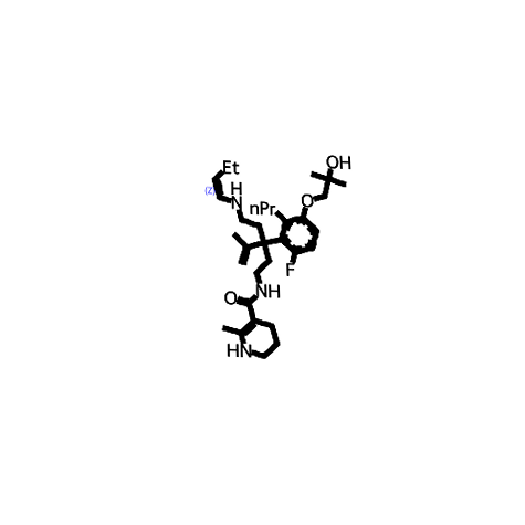 C=C(C)C(CCN/C=C\CC)(CCNC(=O)C1=C(C)NCCC1)c1c(F)ccc(OCC(C)(C)O)c1CCC